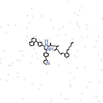 C=CCC/C=C/c1ccccc1/C=C/CCC(=C)C(=C)CCC(=C)C(=N)NC(/C=C/c1ccc(C2=CCCN=C2)cc1)c1ccc(-c2cccc3ccccc23)cc1